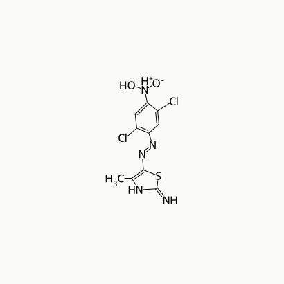 Cc1[nH]c(=N)sc1N=Nc1cc(Cl)c([NH+]([O-])O)cc1Cl